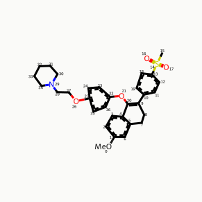 COc1ccc2c(c1)CCC(c1ccc(S(C)(=O)=O)cc1)=C2Oc1ccc(OCCN2CCCCC2)cc1